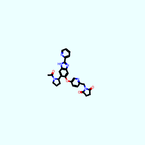 CC(=O)N1CCCC1c1cc2[nH]c(-c3ccccn3)nc2cc1Oc1ccc(CN2C(=O)CCC2=O)nc1